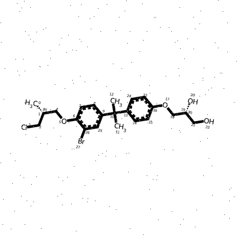 C[C@@H](CCl)COc1ccc(C(C)(C)c2ccc(OC[C@H](O)CO)cc2)cc1Br